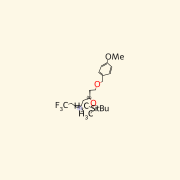 COc1ccc(COCC[C@H](C/C=C\CC(F)(F)F)O[Si](C)(C)C(C)(C)C)cc1